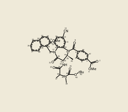 COC(=O)c1ccc(C(=O)N2c3cc(C#N)ccc3N(Cc3c(OC)ccc4ccccc34)C(=O)[C@@H](NC(=O)C(C)N(C)C(=O)OC(C)(C)C)[C@@H]2C)cc1